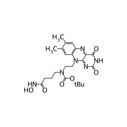 Cc1cc2nc3c(=O)[nH]c(=O)nc-3n(CCN(CCCC(=O)NO)C(=O)OC(C)(C)C)c2cc1C